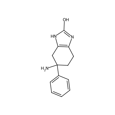 NC1(c2ccccc2)CCc2nc(O)[nH]c2C1